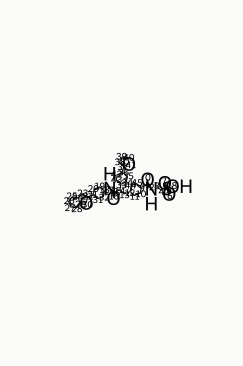 O=C(NCCS(=O)(=O)O)c1ccc(CC(C(=O)Nc2ccc(-c3cc4ccccc4o3)cc2)c2ccc(-c3ccco3)cc2)cc1